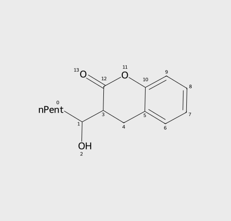 CCCCCC(O)C1Cc2ccccc2OC1=O